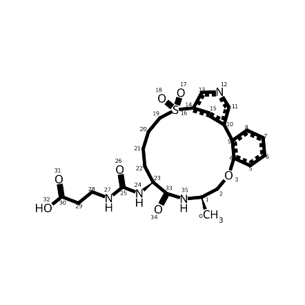 C[C@@H]1COc2ccccc2-c2cncc(c2)S(=O)(=O)CCCC[C@H](NC(=O)NCCC(=O)O)C(=O)N1